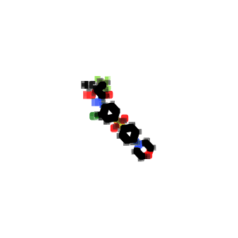 C[C@@](O)(C(=O)Nc1ccc(S(=O)(=O)c2ccc(N3CCOCC3)cc2)cc1Cl)C(F)(F)F